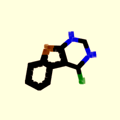 ClC1NCNc2sc3ccccc3c21